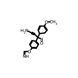 COC1=CCC(C(C#CN)(N=O)c2ccc(OC=N)cc2)C=C1